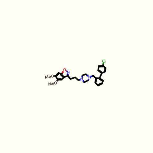 COc1cc2onc(CCCN3CCN(Cc4ccccc4-c4ccc(Cl)cc4)CC3)c2cc1OC